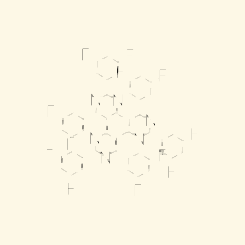 Fc1cc(F)cc(-c2nc(-c3cc(F)cc(F)c3)c3c(n2)c2c(-c4cc(F)cc(F)c4)nc(-c4cc(F)cc(F)c4)nc2c2c(-c4cc(F)cc(F)c4)nc(-c4cc(F)cc(F)c4)nc32)c1